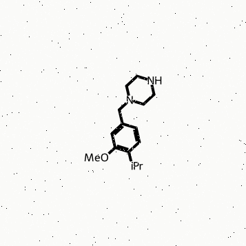 COc1cc(CN2CCNCC2)ccc1C(C)C